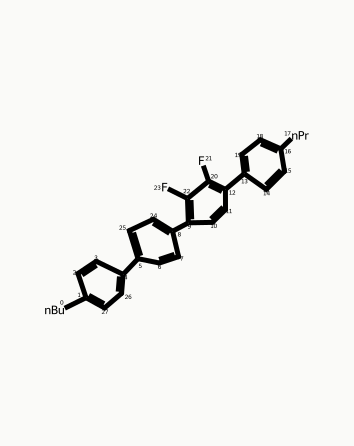 CCCCc1ccc(-c2ccc(-c3ccc(-c4ccc(CCC)cc4)c(F)c3F)cc2)cc1